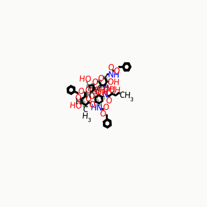 CCC[C@H](O)C(=O)N[C@@H]1C[C@H](NC(=O)OCc2ccccc2)[C@@H](O[C@H]2O[C@@H]3COC(c4ccccc4)O[C@H]3[C@H](O)[C@H]2C)[C@H](O[C@@H]2O[C@H](CO)[C@@H](O[C@H]3O[C@@H](CNC(=O)OCc4ccccc4)[C@@H](O)[C@H](O)[C@H]3C)[C@H]2O)[C@H]1O